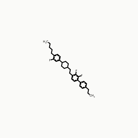 CCCCCc1ccc(C2CCC(CCc3ccc(-c4ccc(CCC)cc4)c(F)c3F)CC2)cc1F